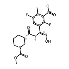 COC(=O)N1CCC[C@H](C(=O)N/C(=N\O)c2cc(F)c(C)c([N+](=O)[O-])c2F)C1